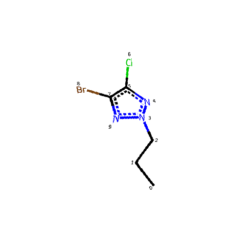 CCCn1nc(Cl)c(Br)n1